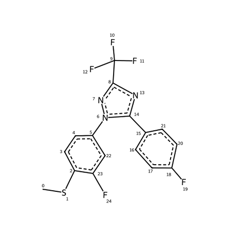 CSc1ccc(-n2nc(C(F)(F)F)nc2-c2ccc(F)cc2)cc1F